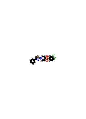 O=S(=O)(c1ccc(F)c(Cl)c1)C1CCN(c2nc(-c3ccccc3)cs2)CC1